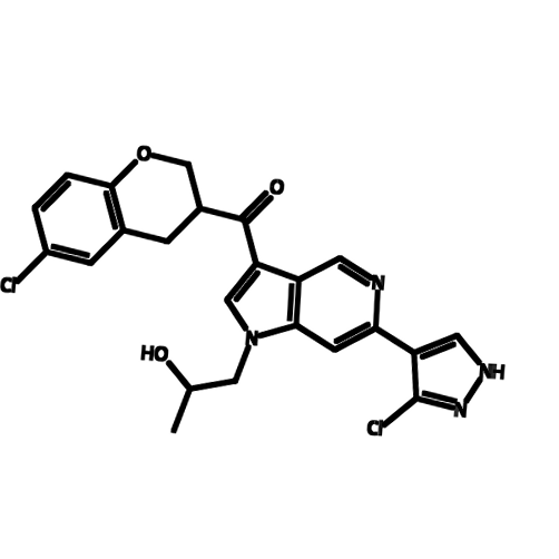 CC(O)Cn1cc(C(=O)C2COc3ccc(Cl)cc3C2)c2cnc(-c3c[nH]nc3Cl)cc21